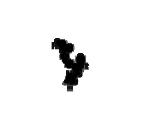 CCN(c1cc(-c2ccc(CN3CCN(Cc4ccccc4C4CCC(=O)NC4=O)CC3)cc2)cc(C(=O)NCc2c(C)cc(C)[nH]c2=O)c1C)C1CCOCC1